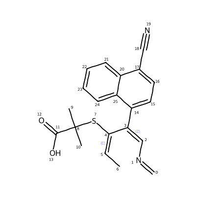 C=N/C=C(\C(=C/C)SC(C)(C)C(=O)O)c1ccc(C#N)c2ccccc12